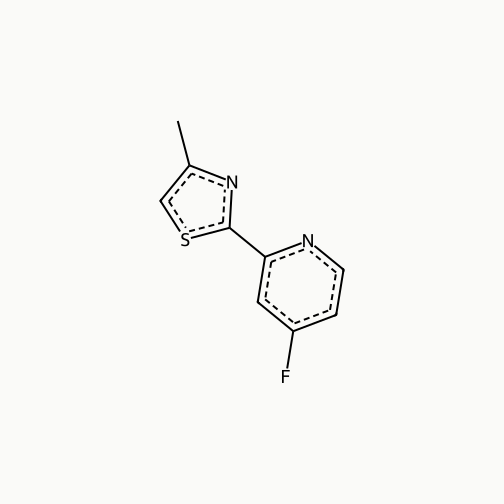 Cc1csc(-c2cc(F)ccn2)n1